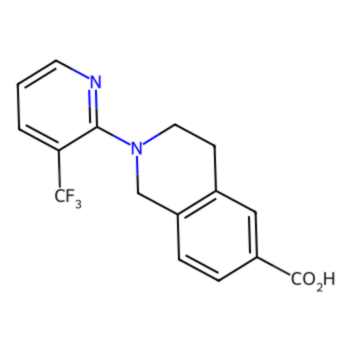 O=C(O)c1ccc2c(c1)CCN(c1ncccc1C(F)(F)F)C2